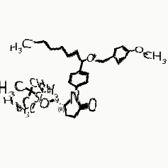 CCCCCCC(OCc1ccc(OC)cc1)c1ccc(N2C(=O)CC[C@@H]2CO[Si](C)(C)C(C)(C)C)cc1